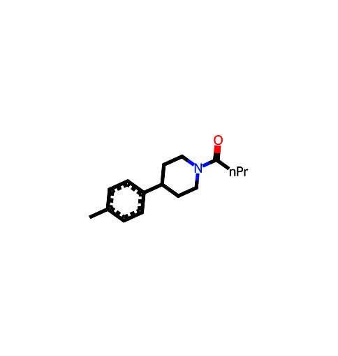 CCCC(=O)N1CCC(c2ccc(C)cc2)CC1